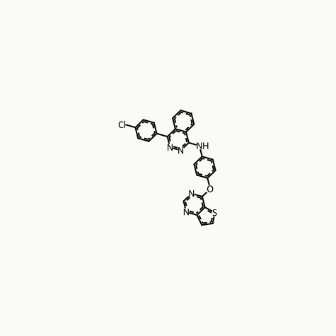 Clc1ccc(-c2nnc(Nc3ccc(Oc4ncnc5ccsc45)cc3)c3ccccc23)cc1